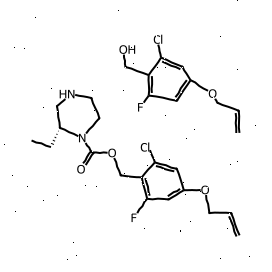 C=CCOc1cc(F)c(CO)c(Cl)c1.C=CCOc1cc(F)c(COC(=O)N2CCNC[C@H]2CC)c(Cl)c1